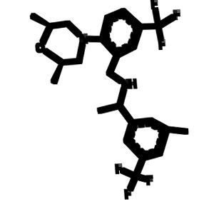 Cc1cc(C(C)NCc2cc(C(F)(F)F)ccc2N2C[C@@H](C)O[C@@H](C)C2)cc(C(F)(F)F)c1